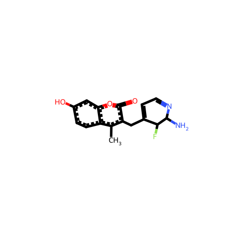 Cc1c(CC2=CC=NC(N)C2F)c(=O)oc2cc(O)ccc12